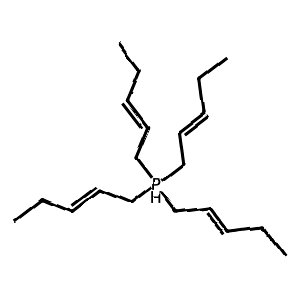 CCC=CC[PH](CC=CCC)(CC=CCC)CC=CCC